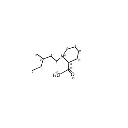 CCC(C)CCN1CCCCC1C(=O)O